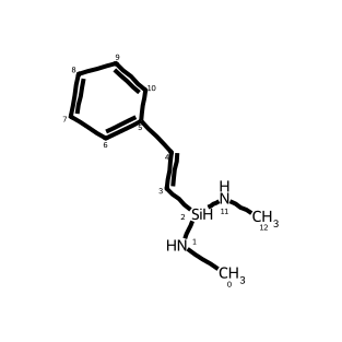 CN[SiH](C=Cc1ccccc1)NC